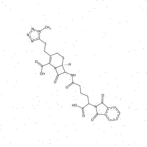 Cn1nnnc1SCC1=C(C(=O)O)N2C(=O)C(NC(=O)CCCC(C(=O)O)N3C(=O)c4ccccc4C3=O)[C@@H]2SC1